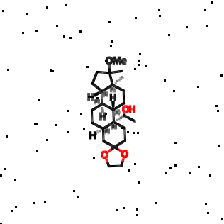 COC1(C)CC[C@H]2[C@@H]3CC[C@@H]4CC5(CC[C@]4(C(C)O)[C@H]3CC[C@@]21C)OCCO5